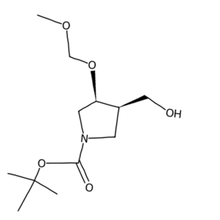 COCO[C@@H]1CN(C(=O)OC(C)(C)C)C[C@@H]1CO